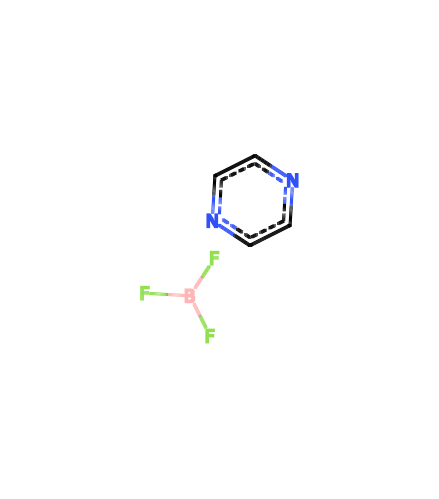 FB(F)F.c1cnccn1